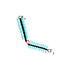 FC(F)(F)C(F)(F)C(F)(F)C(F)(F)C(F)(F)C(F)(F)C(F)(F)C(F)(F)C(F)(F)C(F)(F)C(F)(F)COCC(F)(F)C(F)(F)C(F)(F)C(F)(F)C(F)(F)C(F)(F)C(F)(F)C(F)(F)C(F)(F)C(F)(F)C(F)(F)F